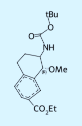 CCOC(=O)c1ccc2c(c1)[C@@H](OC)C(NC(=O)OC(C)(C)C)CC2